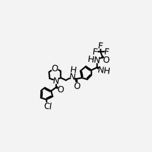 N=C(NC(=O)C(F)(F)F)c1ccc(C(=O)NCC2COCCN2C(=O)c2cccc(Cl)c2)cc1